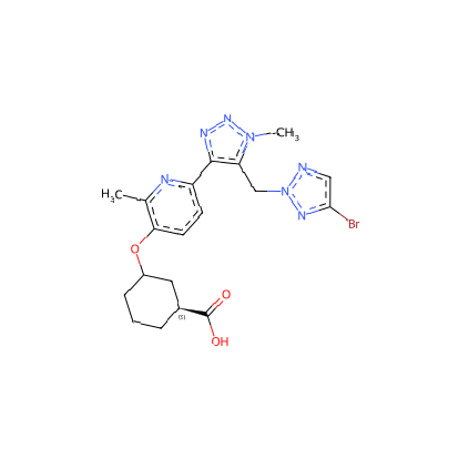 Cc1nc(-c2nnn(C)c2Cn2ncc(Br)n2)ccc1OC1CCC[C@H](C(=O)O)C1